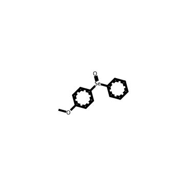 COc1ccc([Se](=O)c2ccccc2)cc1